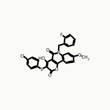 COc1ccc2c3oc(=O)c(Sc4ccc(Cl)cc4)c(O)c3c(=O)n(Cc3ccccc3F)c2c1